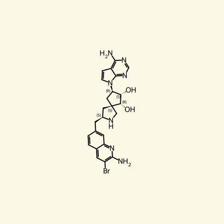 Nc1nc2cc(C[C@H]3C[C@@]4(CN3)C[C@@H](n3ccc5c(N)ncnc53)[C@H](O)[C@@H]4O)ccc2cc1Br